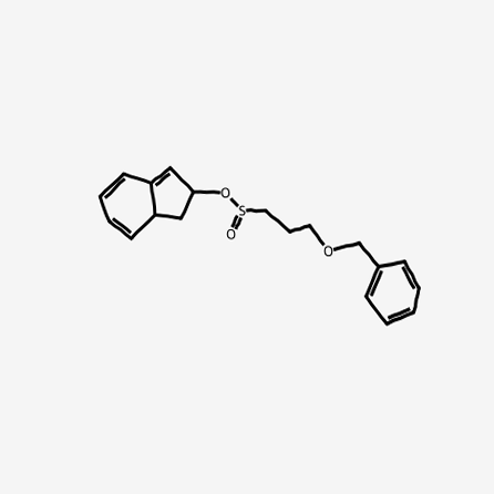 O=S(CCCOCc1ccccc1)OC1C=C2C=CC=CC2C1